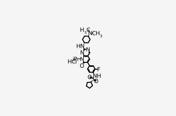 CC(C)n1c(=O)c(-c2ccc(NS(=O)(=O)C3CCCC3)c(F)c2)cc2cnc(N[C@H]3CC[C@H](N(C)C)CC3)nc21.Cl